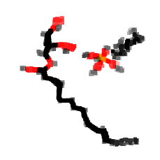 CCCCCCCCC=CCCCCCCCC(=O)OCC(O)CO.O=P([O-])([O-])[O-].[Na+].[Na+].[Na+]